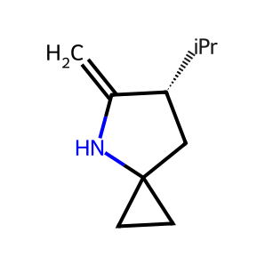 C=C1NC2(CC2)C[C@H]1C(C)C